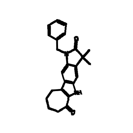 CC1(C)C(=O)N(Cc2ccccc2)c2cc3c4c([nH]c3cc21)C(=O)CCCC4